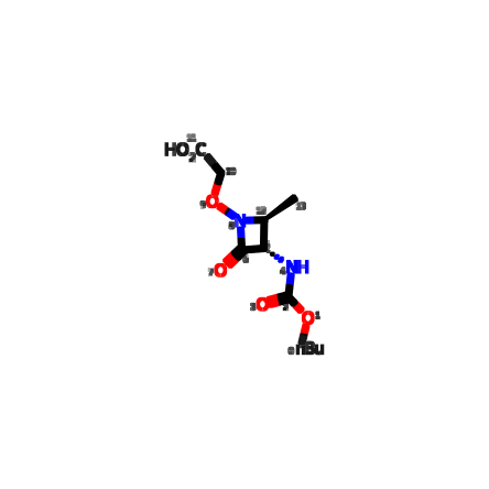 CCCCOC(=O)N[C@@H]1C(=O)N(OCC(=O)O)[C@H]1C